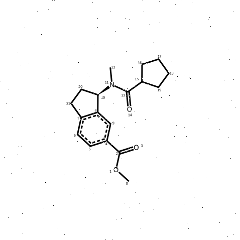 COC(=O)c1ccc2c(c1)[C@H](N(C)C(=O)C1CCCC1)CC2